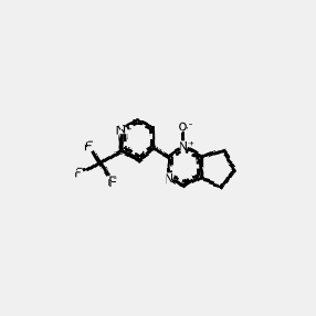 [O-][n+]1c(-c2ccnc(C(F)(F)F)c2)ncc2c1CCC2